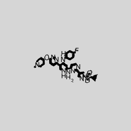 CN1CCC(Oc2ccc(C3=CNC(N)(c4ccnc(-c5cnn(S(=O)(=O)C6CC6)c5)n4)C=C3NC3CCC(F)CC3)nn2)CC1